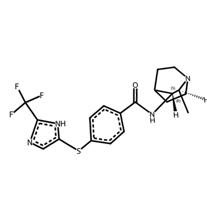 C[C@H]1[C@H](NC(=O)c2ccc(Sc3cnc(C(F)(F)F)[nH]3)cc2)C2CCN1CC2